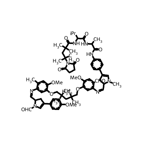 COc1ccc(C2=CN(C=O)C(/C=N\c3cc(OCC(C)(C)CC(C)(C)COc4cc(/N=C\C5CC(c6ccc(NC(=O)C(C)NC(=O)C(NC(=O)C(C)(C)CC(C)(C)N7C(=O)CCC7=O)C(C)C)cc6)=CN5C)c(C=O)cc4OC)c(OC)cc3C)C2)cc1